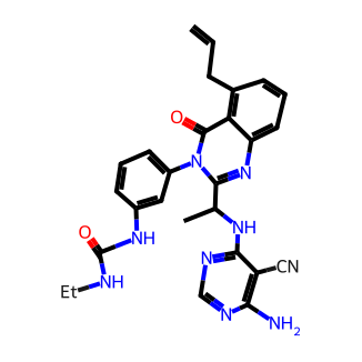 C=CCc1cccc2nc(C(C)Nc3ncnc(N)c3C#N)n(-c3cccc(NC(=O)NCC)c3)c(=O)c12